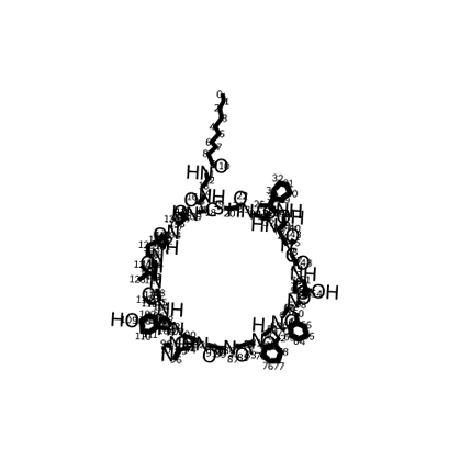 CCCCCCCCCC(=O)NCCNC(=O)[C@@H]1CSCC(=O)N[C@@H](Cc2c[nH]c3ccccc23)C(=O)N[C@@H]([C@@H](C)O)C(=O)N(C)CC(=O)N[C@@H](CC(=O)O)C(=O)N(C)[C@@H](Cc2ccccc2)C(=O)N(C)[C@@H](Cc2ccccc2)C(=O)N[C@@H](C)C(=O)N(C)[C@@H](C)C(=O)N[C@@H](Cc2cnc[nH]2)C(=O)N[C@@H](Cc2ccc(O)cc2)C(=O)N[C@@H](CC)C(=O)NC(C(C)C)C(=O)N2CCC[C@H]2C(=O)N[C@@H](C)C(=O)N1